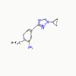 Cc1ccc(-c2ncn(C3CC3)n2)cc1N